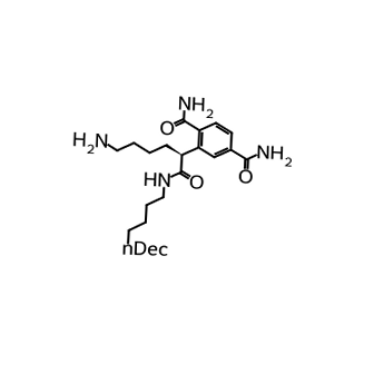 CCCCCCCCCCCCCCNC(=O)[C@@H](CCCCN)c1cc(C(N)=O)ccc1C(N)=O